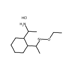 CC[O][Sn][CH](C)C1CCCCC1C(C)N.Cl